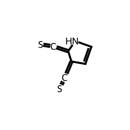 S=C=c1cc[nH]c1=C=S